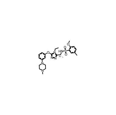 CCn1c(Oc2cccc(N3CCN(C)CC3)c2)nnc1[C@@H](C)NS(=O)(=O)c1cc(C)ccc1OC